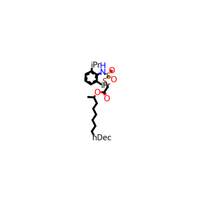 CCCCCCCCCCCCCCCCC(C)OC(=O)CSS(=O)(=O)Nc1c(C(C)C)cccc1C(C)C